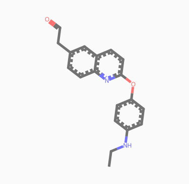 CCNc1ccc(Oc2ccc3cc(CC=O)ccc3n2)cc1